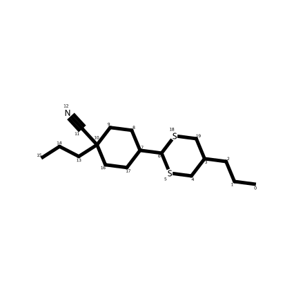 CCCC1CSC(C2CCC(C#N)(CCC)CC2)SC1